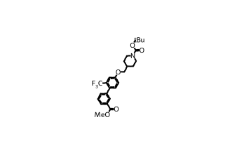 COC(=O)c1cccc(-c2ccc(OCC3CCN(C(=O)OC(C)(C)C)CC3)cc2C(F)(F)F)c1